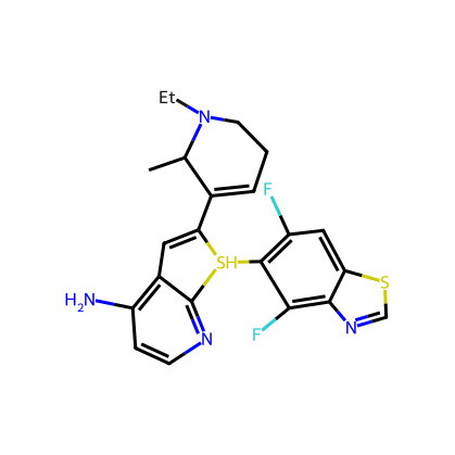 CCN1CCC=C(C2=Cc3c(N)ccnc3[SH]2c2c(F)cc3scnc3c2F)C1C